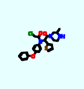 CC1CN(C(=O)C(c2cccs2)N(C(=O)CCl)c2ccc(Oc3ccccc3)cc2)CCN1